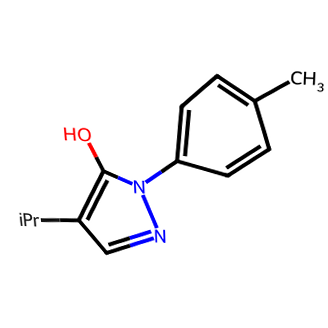 Cc1ccc(-n2ncc(C(C)C)c2O)cc1